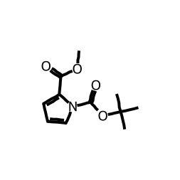 COC(=O)c1cccn1C(=O)OC(C)(C)C